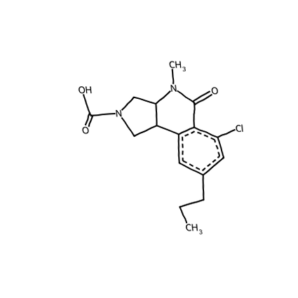 CCCc1cc(Cl)c2c(c1)C1CN(C(=O)O)CC1N(C)C2=O